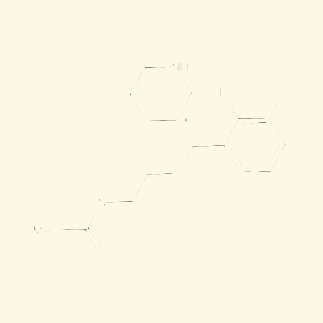 COC(=O)NCCOC(c1cccc(Cl)c1F)[C@H]1CNCCO1